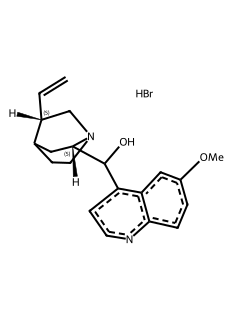 Br.C=C[C@@H]1CN2CCC1C[C@H]2C(O)c1ccnc2ccc(OC)cc12